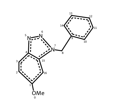 COc1ccc2nnn(Cc3ccccc3)c2c1